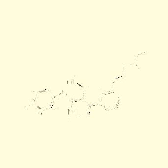 CCSCCOc1cccc(C(=O)/C(C=N)=C(\N)Nc2ccc(F)cc2)c1